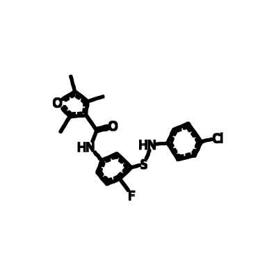 Cc1oc(C)c(C(=O)Nc2ccc(F)c(SNc3ccc(Cl)cc3)c2)c1C